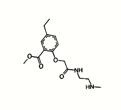 CCc1ccc(OCC(=O)NCCNC)c(C(=O)OC)c1